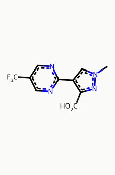 Cn1cc(-c2ncc(C(F)(F)F)cn2)c(C(=O)O)n1